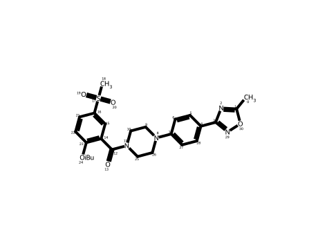 Cc1nc(-c2ccc(N3CCN(C(=O)c4cc(S(C)(=O)=O)ccc4OCC(C)C)CC3)cc2)no1